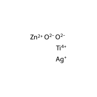 [Ag+].[O-2].[O-2].[Ti+4].[Zn+2]